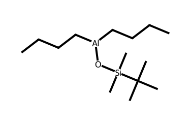 CCC[CH2][Al]([CH2]CCC)[O][Si](C)(C)C(C)(C)C